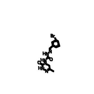 CC1=NNC(=O)N(NC(=O)N/N=C/c2cccc(Br)c2)C1